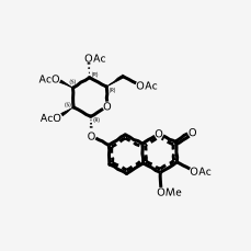 COc1c(OC(C)=O)c(=O)oc2cc(O[C@H]3O[C@H](COC(C)=O)[C@@H](OC(C)=O)[C@H](OC(C)=O)[C@@H]3OC(C)=O)ccc12